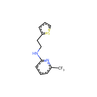 FC(F)(F)c1cc[c]c(NCCc2cccs2)n1